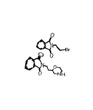 O=C1c2ccccc2C(=O)N1CCBr.O=C1c2ccccc2C(=O)N1CCC1CNCCO1